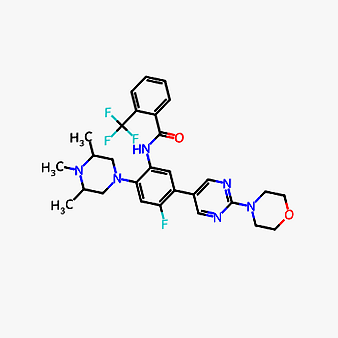 CC1CN(c2cc(F)c(-c3cnc(N4CCOCC4)nc3)cc2NC(=O)c2ccccc2C(F)(F)F)CC(C)N1C